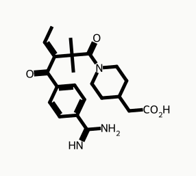 CC=C(C(=O)c1ccc(C(=N)N)cc1)C(C)(C)C(=O)N1CCC(CC(=O)O)CC1